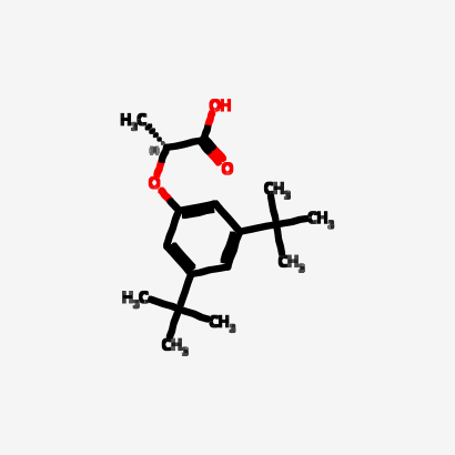 C[C@@H](Oc1cc(C(C)(C)C)cc(C(C)(C)C)c1)C(=O)O